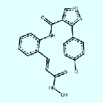 O=C(C=Cc1ccccc1NC(=O)c1conc1-c1ccc(Cl)cc1)NO